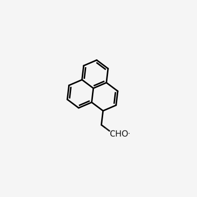 O=[C]CC1C=Cc2cccc3cccc1c23